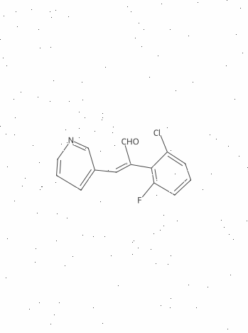 O=CC(=Cc1cccnc1)c1c(F)cccc1Cl